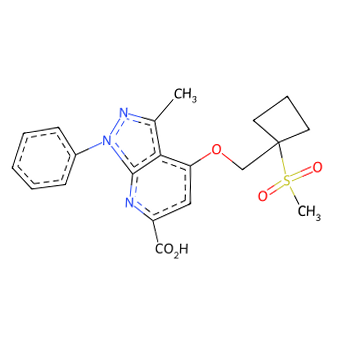 Cc1nn(-c2ccccc2)c2nc(C(=O)O)cc(OCC3(S(C)(=O)=O)CCC3)c12